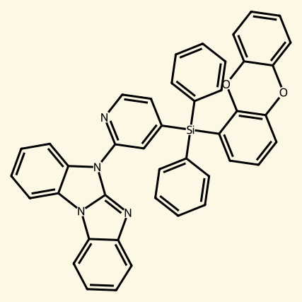 c1ccc([Si](c2ccccc2)(c2ccnc(-n3c4ccccc4n4c5ccccc5nc34)c2)c2cccc3c2Oc2ccccc2O3)cc1